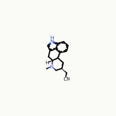 CN1C[C@H](CC#N)CC2c3cccc4[nH]cc(c34)C[C@H]21